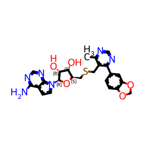 Cc1ncnc(-c2ccc3c(c2)OCO3)c1CSC[C@H]1O[C@@H](n2ccc3c(N)ncnc32)[C@H](O)[C@@H]1O